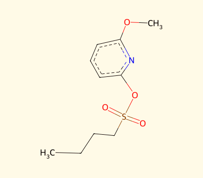 CCCCS(=O)(=O)Oc1cccc(OC)n1